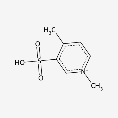 Cc1cc[n+](C)cc1S(=O)(=O)O